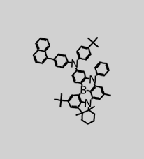 Cc1cc2c3c(c1)N1c4c(cc(C(C)(C)C)cc4C4(C)CCCCC14C)B3c1ccc(N(c3ccc(-c4cccc5ccccc45)cc3)c3ccc(C(C)(C)C)cc3)cc1N2c1ccccc1